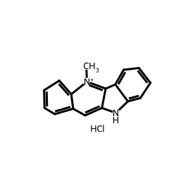 C[n+]1c2ccccc2cc2[nH]c3ccccc3c21.Cl